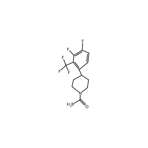 BC(=O)N1CCC(c2ccc(F)c(F)c2C(F)(F)F)CC1